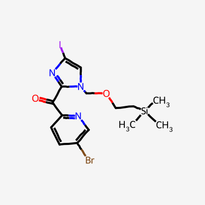 C[Si](C)(C)CCOCn1cc(I)nc1C(=O)c1ccc(Br)cn1